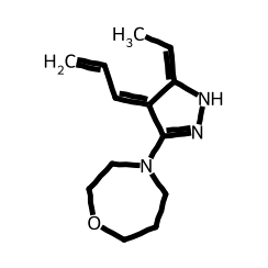 C=C/C=c1/c(N2CCCOCC2)n[nH]/c1=C/C